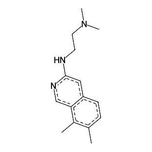 Cc1ccc2cc(NCCN(C)C)ncc2c1C